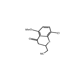 COc1ccc(Cl)c2c1C(=O)CC(CC#N)S2